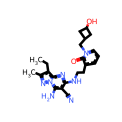 CCc1c(C)nn2c(N)c(C#N)c(NCCc3cccn(CC4CC(O)C4)c3=O)nc12